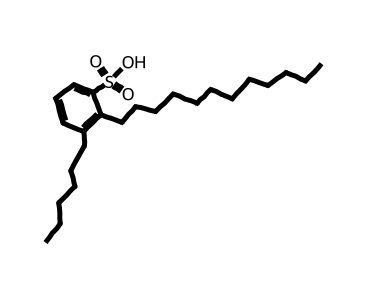 CCCCCCCCCCCCc1c(CCCCCC)cccc1S(=O)(=O)O